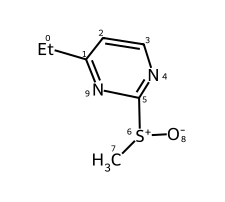 CCc1ccnc([S+](C)[O-])n1